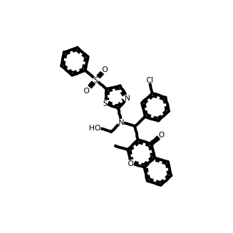 Cc1oc2ccccc2c(=O)c1C(c1cccc(Cl)c1)N(CO)c1ncc(S(=O)(=O)c2ccccc2)s1